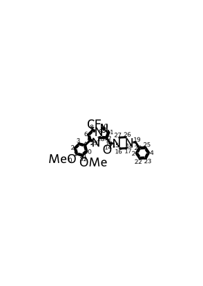 COc1ccc(-c2cc(C(F)(F)F)n3ncc(C(=O)N4CCN(Cc5ccccc5)CC4)c3n2)cc1OC